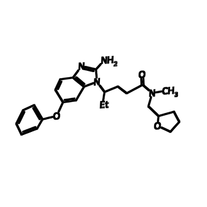 CCC(CCC(=O)N(C)CC1CCCO1)n1c(N)nc2ccc(Oc3ccccc3)cc21